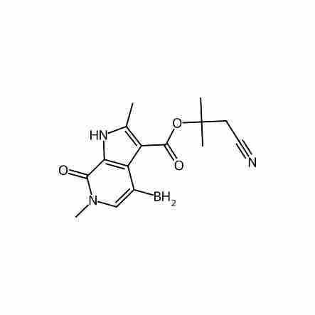 Bc1cn(C)c(=O)c2[nH]c(C)c(C(=O)OC(C)(C)CC#N)c12